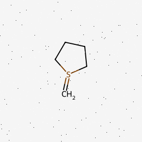 C=S1CCCC1